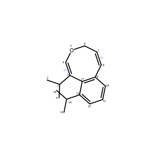 CC(C)/C1=C/OC/C=C\c2cccc(C(C)C)c21